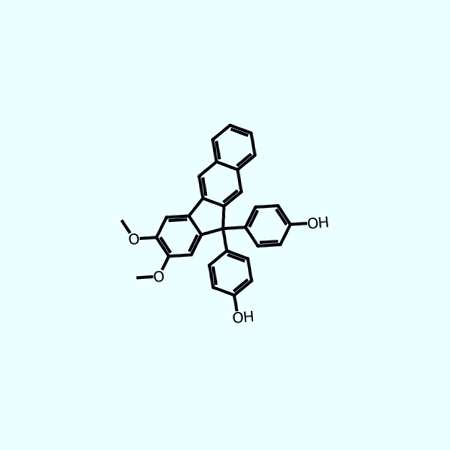 COc1cc2c(cc1OC)C(c1ccc(O)cc1)(c1ccc(O)cc1)c1cc3ccccc3cc1-2